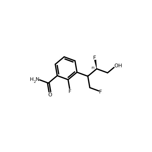 NC(=O)c1cccc([C](CF)[C@@H](F)CO)c1F